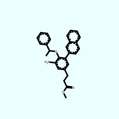 COC(=O)CCc1cc(N)c(OC(C)c2ccccc2)c(-c2ccc3ccccc3c2)c1